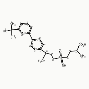 CC(C)(O)c1cccc(-c2ccc(C(CCS(=N)(=O)CC[C@H](N)C(=O)O)C(F)(F)F)cc2)c1